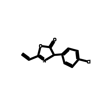 C=CC1=NC(c2ccc(Cl)cc2)C(=O)O1